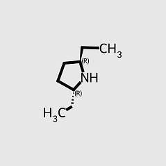 CC[C@@H]1CC[C@@H](CC)N1